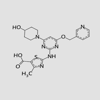 Cc1nc(Nc2nc(OCc3cccnc3)cc(N3CCC(O)CC3)n2)sc1C(=O)O